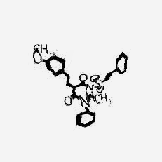 CCN(C(=O)C(CCc1ccc(OC)cc1)C(=O)NS(=O)(=O)C=Cc1ccccc1)c1ccccc1